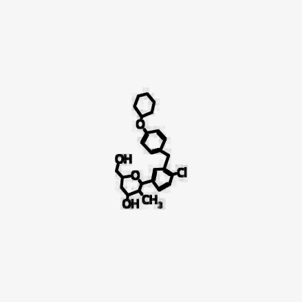 CC1C(O)CC(CO)OC1c1ccc(Cl)c(Cc2ccc(OC3CCCCC3)cc2)c1